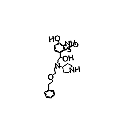 O=c1[nH]c2c(O)ccc(C(O)CN(CCOCCc3ccccc3)C3CCNCC3)c2s1